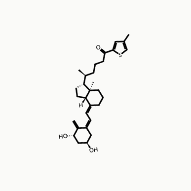 C=C1/C(=C\C=C2/CCC[C@]3(C)[C@@H]([C@@H](C)CCCC(=O)c4cc(C)cs4)CC[C@@H]23)C[C@@H](O)C[C@@H]1O